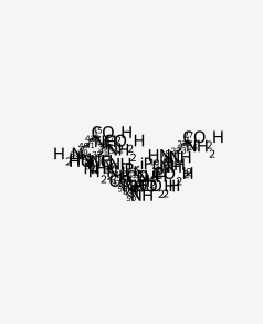 CC(C)C[C@H](N)C(=O)O.CC(C)C[C@H](N)C(=O)O.CC(C)[C@H](N)C(=O)O.C[C@H](N)C(=O)O.N=C(N)NCCC[C@H](N)C(=O)O.N=C(N)NCCC[C@H](N)C(=O)O.NCCCC[C@H](N)C(=O)O.O=C(O)[C@@H]1CCCN1.O=C(O)[C@@H]1CCCN1